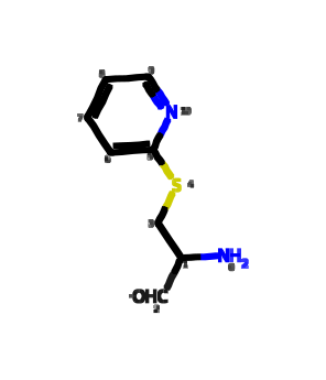 NC([C]=O)CSc1ccccn1